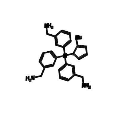 CCC(C)C1=CC=C[C]1[Si](c1cccc(CN)c1)(c1cccc(CN)c1)c1cccc(CN)c1